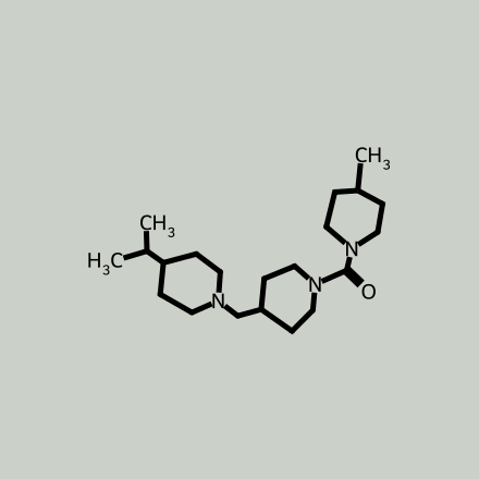 CC1CCN(C(=O)N2CCC(CN3CCC(C(C)C)CC3)CC2)CC1